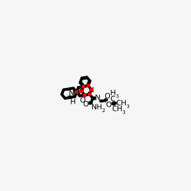 CC(C)(C)OC(=O)CN=C(C(N)=O)c1nc2ccccc2n(C2CC3CCC[C@H](C2)N3C2CC3CCCC(C3)C2)c1=O